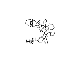 Cl.NC1(C(=O)c2cc3cc(Cl)ccc3[nH]2)CCCCC1NC(=O)c1nc2c(s1)CN1CCCCN1C2